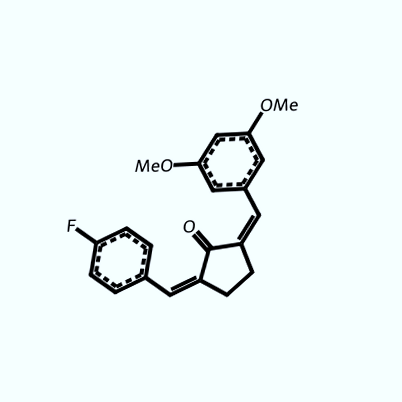 COc1cc(C=C2CCC(=Cc3ccc(F)cc3)C2=O)cc(OC)c1